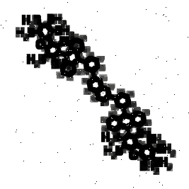 Bc1c(B)c(B)c2c(oc3c(B)c(B)c(-c4c5ccccc5c(-c5cccc(-c6ccc7ccc(-c8cccc(-c9c%10ccccc%10c(-c%10c(B)c(B)c%11oc%12c(B)c(B)c(B)c(B)c%12c%11c%10B)c%10ccccc9%10)c8)cc7c6)c5)c5ccccc45)c(B)c32)c1B